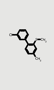 CSc1cc(C)ccc1-c1cccc(Cl)c1